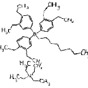 CCCCCCCC[B-](c1ccc(CC)c(CC)c1)(c1ccc(CC)c(CC)c1)c1ccc(CC)c(CC)c1.CC[N+](CC)(CC)CC